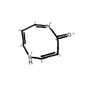 O=C1C=CNC=CC=N1